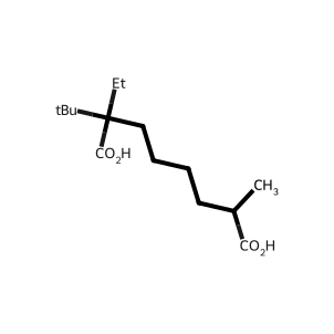 CCC(CCCCC(C)C(=O)O)(C(=O)O)C(C)(C)C